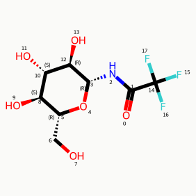 O=C(N[C@@H]1O[C@H](CO)[C@@H](O)[C@H](O)[C@H]1O)C(F)(F)F